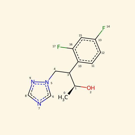 C[C@H](O)C(Cn1cncn1)c1ccc(F)cc1F